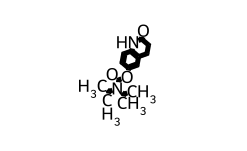 CC(C)N(C(=O)Oc1ccc2c(c1)CCC(=O)N2)C(C)C